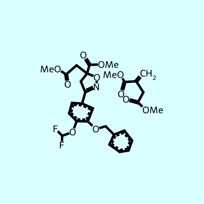 C=C(CC(=O)OC)C(=O)OC.COC(=O)CC1(C(=O)OC)CC(c2ccc(OC(F)F)c(OCc3ccccc3)c2)=NO1